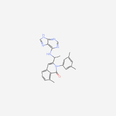 Cc1cc(C)cc(-n2c(C(C)Nc3ncnc4[nH]cnc34)cc3cccc(C)c3c2=O)c1